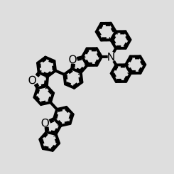 c1ccc2c(N(c3ccc4oc5c(-c6cccc7oc8ccc(-c9cccc%10c9oc9ccccc9%10)cc8c67)cccc5c4c3)c3cccc4ccccc34)cccc2c1